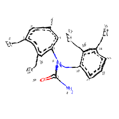 CCc1cccc(N(C(N)=O)c2cccc(CC)c2CC)c1CC